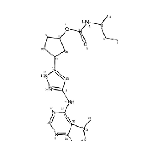 CCC(C)NC(=O)OC1CCC(c2cc(Nc3ncnc4cnn(C)c34)n[nH]2)C1